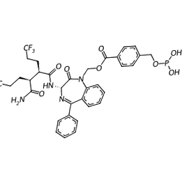 NC(=O)[C@@H](CCC(F)(F)F)[C@@H](CCC(F)(F)F)C(=O)N[C@H]1N=C(c2ccccc2)c2ccccc2N(COC(=O)c2ccc(COP(O)O)cc2)C1=O